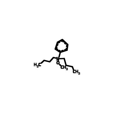 CCCC[Si](CCCC)(OC)c1ccccc1